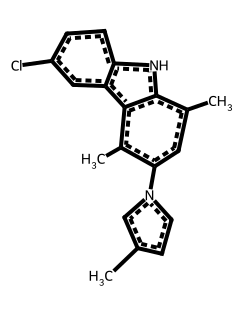 Cc1ccn(-c2cc(C)c3[nH]c4ccc(Cl)cc4c3c2C)c1